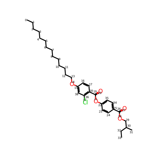 CCCCCCCCCCCCCCOc1ccc(C(=O)Oc2ccc(C(=O)OCC(C)CC)cc2)c(Cl)c1